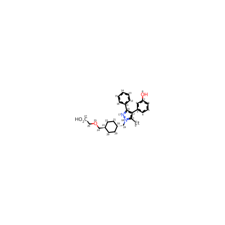 CCc1c(-c2cccc(O)c2)c(-c2ccccc2)nn1C[C@H]1CC[C@H](COCC(=O)O)CC1